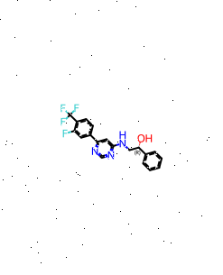 O[C@@H](CNc1cc(-c2ccc(C(F)(F)F)c(F)c2)ncn1)c1ccccc1